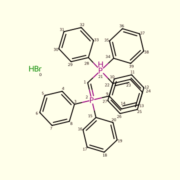 Br.C(=P(c1ccccc1)(c1ccccc1)c1ccccc1)[PH](c1ccccc1)(c1ccccc1)c1ccccc1